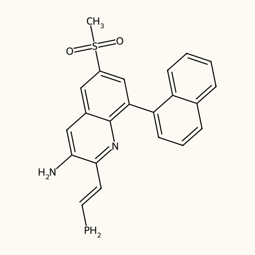 CS(=O)(=O)c1cc(-c2cccc3ccccc23)c2nc(/C=C/P)c(N)cc2c1